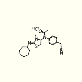 CC(=O)N(c1ccc(CC#N)cc1)C1CSC(=NC2CCCCCC2)N1C.Cl